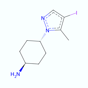 Cc1c(I)cnn1[C@H]1CC[C@H](N)CC1